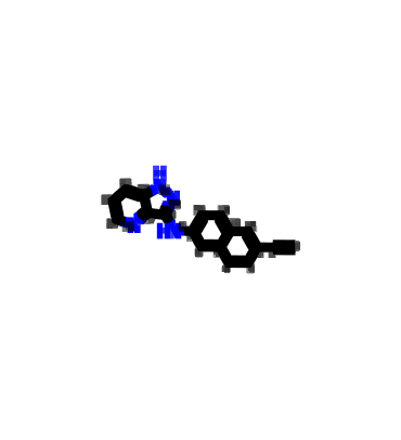 C#Cc1ccc2cc(Nc3n[nH]c4cccnc34)ccc2c1